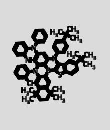 Cc1ccccc1N1c2cc3c(cc2B2c4sc5ccc(C(C)(C)C)cc5c4N(c4ccc(C(C)(C)C)cc4)c4cc(N(c5ccccc5)c5ccccc5N)cc1c42)C(C)(C)CCC3(C)C